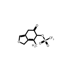 CC1=C2COC=C2CC(=O)C1OS(=O)(=O)C(F)(F)F